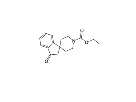 CCOC(=O)N1CCC2(CC1)CC(=O)c1ccccc12